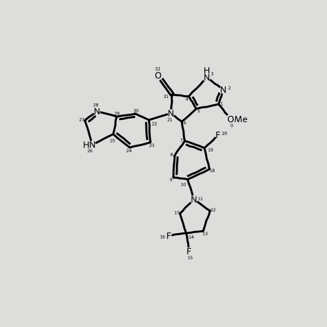 COc1n[nH]c2c1C(c1ccc(N3CCC(F)(F)C3)cc1F)N(c1ccc3[nH]cnc3c1)C2=O